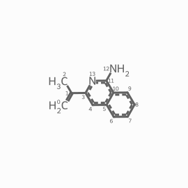 C=C(C)c1cc2ccccc2c(N)n1